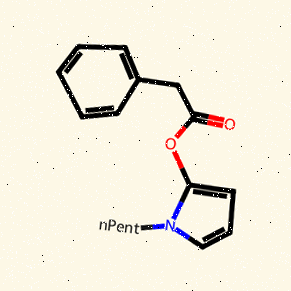 CCCCCn1cccc1OC(=O)Cc1ccccc1